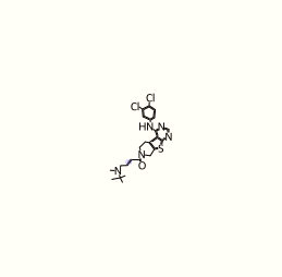 CN(C/C=C/C(=O)N1CCc2c(sc3ncnc(Nc4ccc(Cl)c(Cl)c4)c23)C1)C(C)(C)C